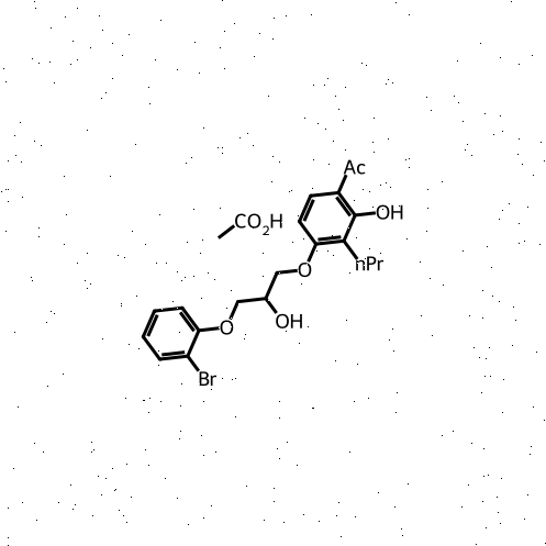 CC(=O)O.CCCc1c(OCC(O)COc2ccccc2Br)ccc(C(C)=O)c1O